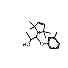 Cc1cccc(OC(C(C)O)N2C(C)(C)C=CC2(C)C)c1